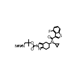 CC(C)(CN=[N+]=[N-])OC(=O)n1cc2c(n1)CCC(N(C(=O)c1csc3cccc(F)c13)C1CC1)C2